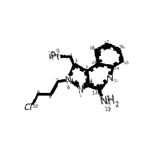 CC(C)Cc1c2c(nn1CCCCl)c(N)nc1ccccc12